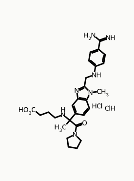 Cl.Cl.Cn1c(CNc2ccc(C(=N)N)cc2)nc2cc(C(C)(NCCCC(=O)O)C(=O)N3CCCC3)ccc21